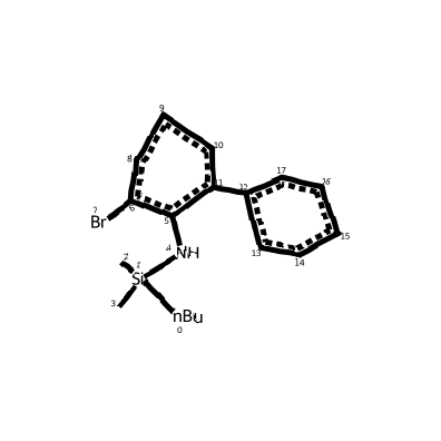 CCCC[Si](C)(C)Nc1c(Br)cccc1-c1ccccc1